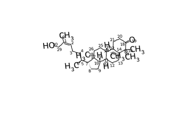 CC(=CCC[C@H](C)[C@H]1CC[C@H]2[C@@H]3CC=C4C(C)(C)C(=O)CC[C@]4(C)[C@H]3CC[C@]12C)CO